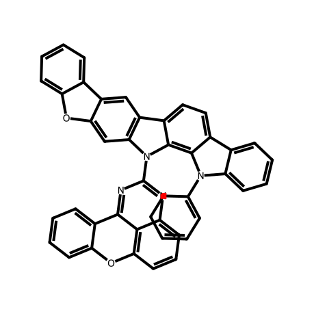 C1=CCCC(n2c3ccccc3c3ccc4c5cc6c(cc5n(-c5nc7c8c(cccc8n5)Oc5ccccc5-7)c4c32)oc2ccccc26)=C1